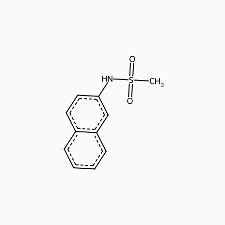 CS(=O)(=O)Nc1ccc2[c]cccc2c1